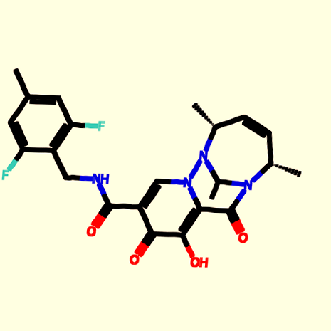 Cc1cc(F)c(CNC(=O)c2cn3c(c(O)c2=O)C(=O)N2C(C)N3[C@H](C)C=C[C@@H]2C)c(F)c1